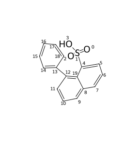 O=S(=O)(O)c1cccc2cccc(-c3ccccc3)c12